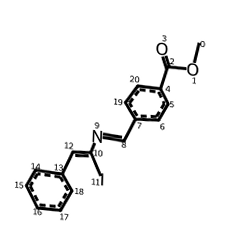 COC(=O)c1ccc(C=NC(I)=Cc2ccccc2)cc1